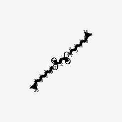 O=C(C=CC(=O)OCCCCCCCC1CC1)OCCCCCCCC1CC1